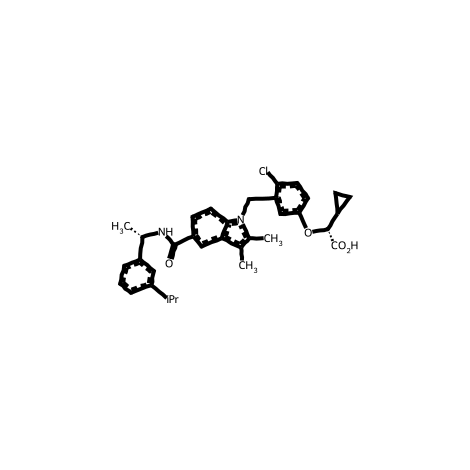 Cc1c(C)n(Cc2cc(O[C@@H](C(=O)O)C3CC3)ccc2Cl)c2ccc(C(=O)N[C@@H](C)c3cccc(C(C)C)c3)cc12